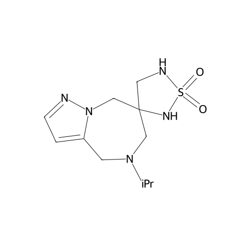 CC(C)N1Cc2ccnn2CC2(CNS(=O)(=O)N2)C1